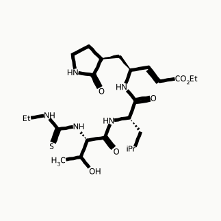 CCNC(=S)N[C@H](C(=O)N[C@@H](CC(C)C)C(=O)N[C@H](/C=C/C(=O)OCC)C[C@@H]1CCNC1=O)C(C)O